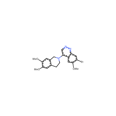 CCc1cc2nncc(N3CCc4cc(OC)c(OC)cc4C3)c2cc1OC